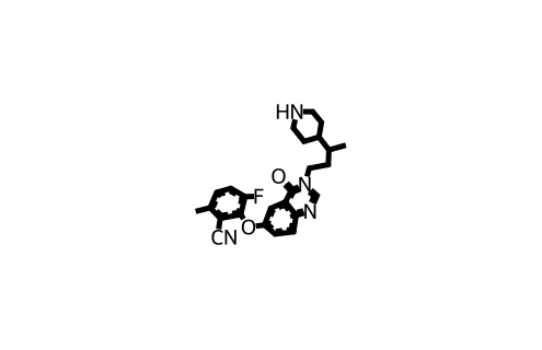 Cc1ccc(F)c(Oc2ccc3ncn(CCC(C)C4CCNCC4)c(=O)c3c2)c1C#N